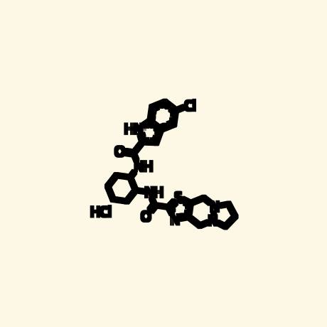 Cl.O=C(NC1CCCCC1NC(=O)c1nc2c(s1)CN1CCCN1C2)c1cc2cc(Cl)ccc2[nH]1